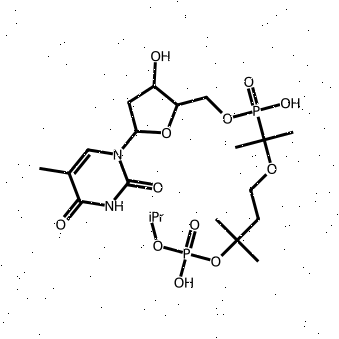 Cc1cn(C2CC(O)C(COP(=O)(O)C(C)(C)OCCC(C)(C)OP(=O)(O)OC(C)C)O2)c(=O)[nH]c1=O